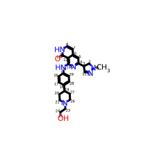 CN1CC(c2cc3cc[nH]c(=O)c3c(Nc3ccc(C4CCN(CCO)CC4)cc3)n2)C=N1